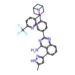 Cc1cc(-c2cccc3nc(-c4ccc(N5CC6CC(C5)N6Cc5ccc(C(F)(F)F)nc5)nc4)nc(N)c23)n[nH]1